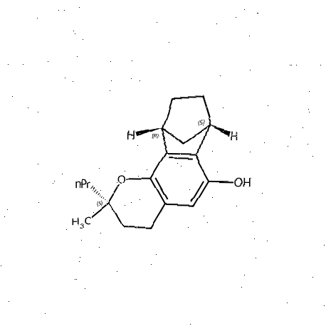 CCC[C@@]1(C)CCc2cc(O)c3c(c2O1)[C@@H]1CC[C@H]3C1